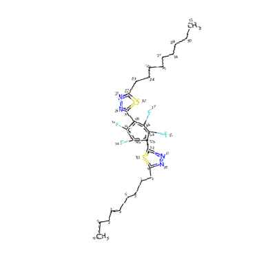 CCCCCCCCCc1nnc(-c2c(F)c(F)c(-c3nnc(CCCCCCCCC)s3)c(F)c2F)s1